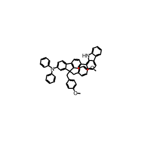 COc1ccc(CC2(Cc3ccc(OC)cc3)c3cc(-c4cccc5c4[nH]c4ccccc45)ccc3-c3ccc(N(c4ccccc4)c4ccccc4)cc32)cc1